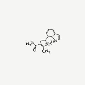 Cc1[nH]c(-c2cccc3cc[nH]c23)cc1C(N)=O